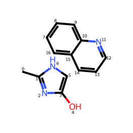 Cc1nc(O)c[nH]1.c1ccc2ncccc2c1